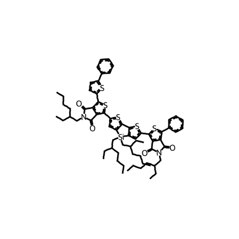 CCCCC(CC)CN1C(=O)c2c(-c3ccccc3)sc(-c3cc4c(s3)-c3sc(-c5sc(-c6ccc(-c7ccccc7)s6)c6c5C(=O)N(CC(CC)CCCC)C6=O)cc3[Si]4(CC(CC)CCCC)CC(CC)CCCC)c2C1=O